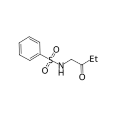 CCC(=O)CNS(=O)(=O)c1ccccc1